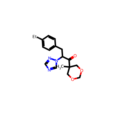 CCc1ccc(CC(C(=O)C2(C)COCOC2)n2cncn2)cc1